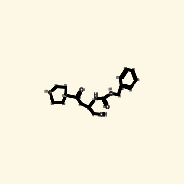 O=C(NC(CO)CC(=O)N1CCOCC1)OCc1ccccc1